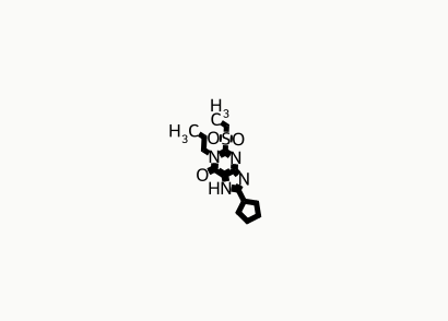 CCCn1c(S(=O)(=O)CC)nc2nc(C3CCCC3)[nH]c2c1=O